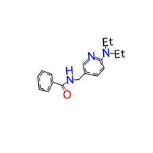 CCN(CC)c1ccc(CNC(=O)c2ccccc2)cn1